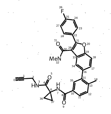 C#CCNC(=O)C1(NC(=O)c2ccc(C)c(-c3ccc4oc(-c5ccc(F)cc5)c(C(=O)NC)c4c3)c2)CC1